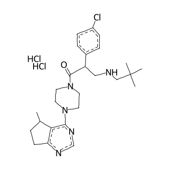 CC1CCc2ncnc(N3CCN(C(=O)C(CNCC(C)(C)C)c4ccc(Cl)cc4)CC3)c21.Cl.Cl